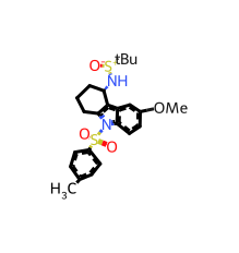 COc1ccc2c(c1)c1c(n2S(=O)(=O)c2ccc(C)cc2)CCC[C@H]1N[S@+]([O-])C(C)(C)C